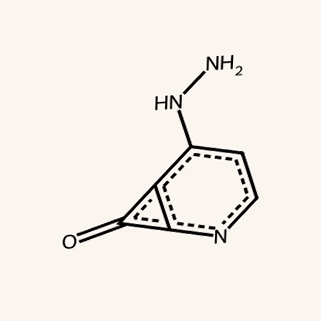 NNc1ccnc2c(=O)c12